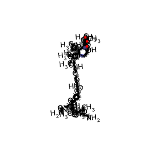 CCN(CC(=O)NCCOCCOCCNC(=O)OCc1ccc(NC(=O)[C@H](CCCNC(N)=O)NC(=O)[C@@H](NC(=O)[C@H](CCCCN)NC(C)=O)C(C)C)cc1)[C@H]1CO[C@@H](O[C@H]2[C@H](O[C@H]3C#C/C=C\C#C[C@]4(O)CC(=O)C(NC(=O)OC)=C3/C4=C\CSSC(C)C)O[C@H](C)C[C@@H]2O)C[C@@H]1OC